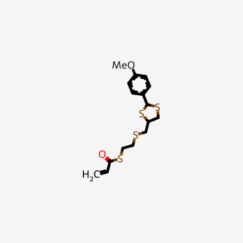 C=CC(=O)SCCSCC1CSC(c2ccc(OC)cc2)S1